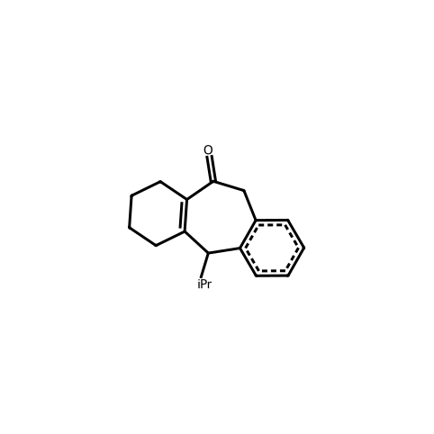 CC(C)C1C2=C(CCCC2)C(=O)Cc2ccccc21